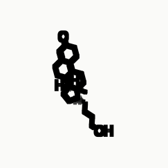 C[C@]12CCC3=C4CCC(=O)C=C4CC[C@H]3[C@@H]1CC[C@H]2CCCCO